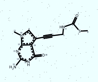 CSC(=O)NCC#Cc1cn(C)c2nc(N)[nH]c(=O)c12